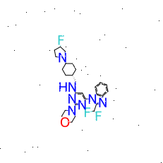 FC(F)c1nc2ccccc2n1-c1cc(NC[C@H]2CC[C@@H](N3CC[C@H](F)C3)CC2)nc(N2CCOCC2)n1